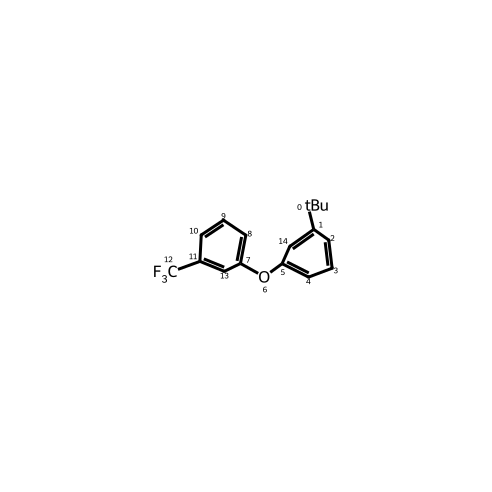 CC(C)(C)c1cccc(Oc2cccc(C(F)(F)F)c2)c1